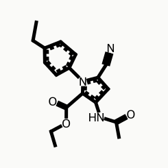 CCOC(=O)c1c(NC(C)=O)cc(C#N)n1-c1ccc(CC)cc1